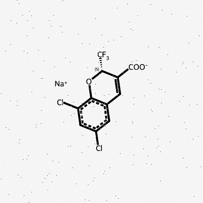 O=C([O-])C1=Cc2cc(Cl)cc(Cl)c2O[C@@H]1C(F)(F)F.[Na+]